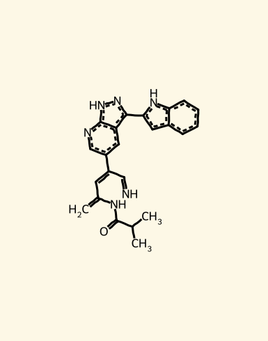 C=C(/C=C(\C=N)c1cnc2[nH]nc(-c3cc4ccccc4[nH]3)c2c1)NC(=O)C(C)C